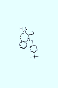 CC(C)(C)c1ccc(CN2C(=O)C(N)CCc3ccccc32)cc1